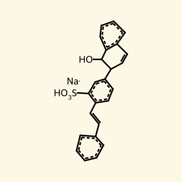 O=S(=O)(O)c1cc(C2C=Cc3ccccc3C2O)ccc1C=Cc1ccccc1.[Na]